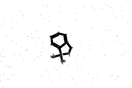 O[B-]1(O)OCc2ccccc21